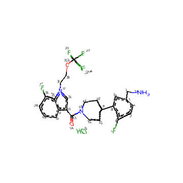 Cl.NCc1ccc(F)c(C2CCN(C(=O)c3cn(CCOC(F)(F)F)c4c(F)cccc34)CC2)c1